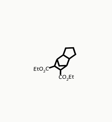 CCOC(=O)C1C2CC(C3CCCC32)C1C(=O)OCC